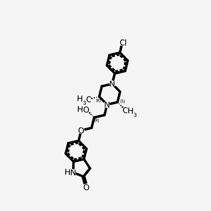 C[C@@H]1CN(c2ccc(Cl)cc2)C[C@H](C)N1C[C@@H](O)COc1ccc2c(c1)CC(=O)N2